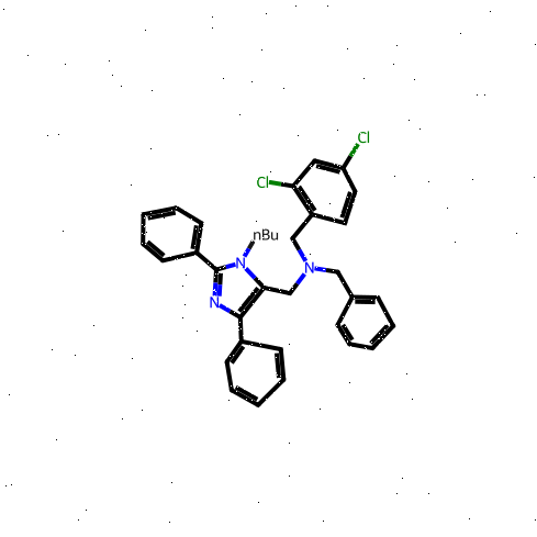 CCCCn1c(-c2ccccc2)nc(-c2ccccc2)c1CN(Cc1ccccc1)Cc1ccc(Cl)cc1Cl